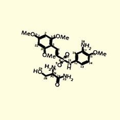 COc1cc(OC)c(C=CS(=O)(=O)Nc2ccc(OC)c(N)c2)c(OC)c1.NC(=O)[C@H](N)CO